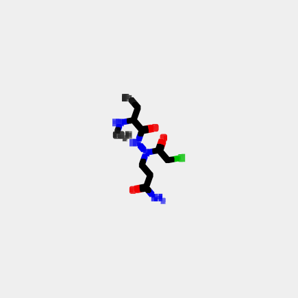 CC(C)CC(NC(=O)O)C(=O)NN(CCC(N)=O)C(=O)CCl